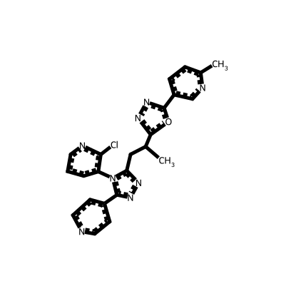 Cc1ccc(-c2nnc(C(C)Cc3nnc(-c4ccncc4)n3-c3cccnc3Cl)o2)cn1